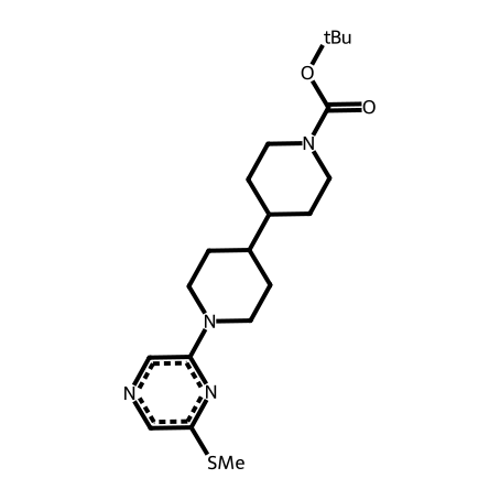 CSc1cncc(N2CCC(C3CCN(C(=O)OC(C)(C)C)CC3)CC2)n1